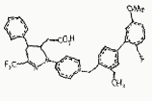 COc1ccc(F)c(-c2ccc(Cc3ccc(N4N=C(C(F)(F)F)C(c5ccccc5)C4CC(=O)O)cc3)c(C)c2)c1